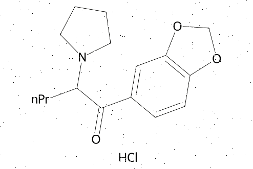 CCCC(C(=O)c1ccc2c(c1)OCO2)N1CCCC1.Cl